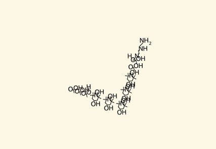 CC(=O)O.CC(=O)O.CC(=O)O.CC(=O)O.CC(=O)O.CC1(C)CC(O)CC(C)(C)N1O.CC1(C)CC(O)CC(C)(C)N1O.CC1(C)CC(O)CC(C)(C)N1O.CC1(C)CC(O)CC(C)(C)N1O.CC1(C)CC(O)CC(C)(C)N1O.NCCNCCN